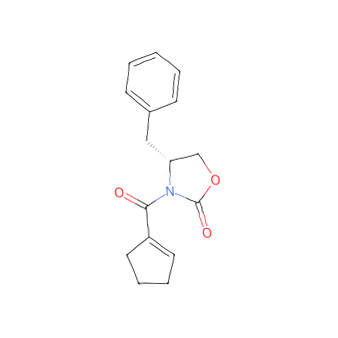 O=C1OC[C@@H](Cc2ccccc2)N1C(=O)C1=CCCC1